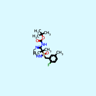 C/N=C(/NC(=O)OC(C)(C)C)C(C)(C)S(=N)(=O)Cc1cc(C)ccc1F